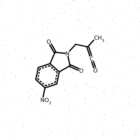 CC(=C=O)CN1C(=O)c2ccc([N+](=O)[O-])cc2C1=O